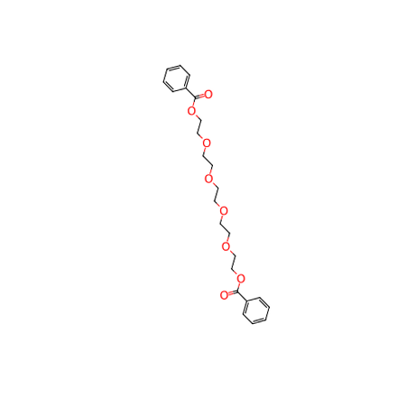 O=C(OCCOCCOCCOCCOCCOC(=O)c1ccccc1)c1ccccc1